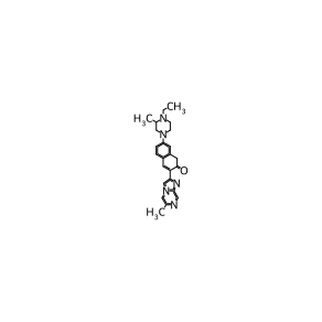 CCN1CCN(c2ccc3c(c2)CC(=O)C(c2cn4cc(C)ncc4n2)=C3)CC1C